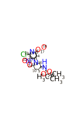 CC(C)(C)OC(=O)NC1CCCN(c2cc(OC=O)nc(Cl)c2[N+](=O)[O-])C1